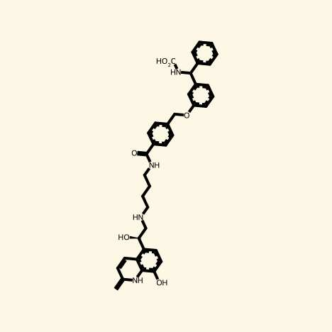 C=C1C=Cc2c([C@@H](O)CNCCCCNC(=O)c3ccc(COc4cccc(C(NC(=O)O)c5ccccc5)c4)cc3)ccc(O)c2N1